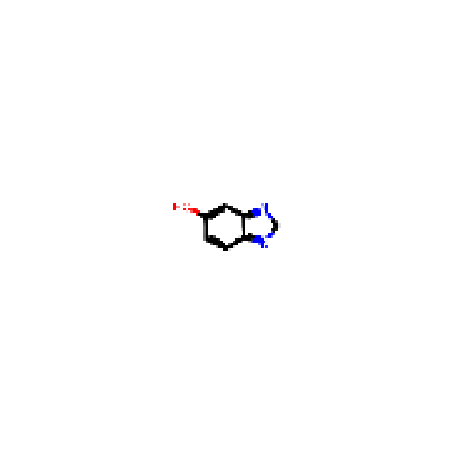 Oc1ccc2c(c1)=NCN=2